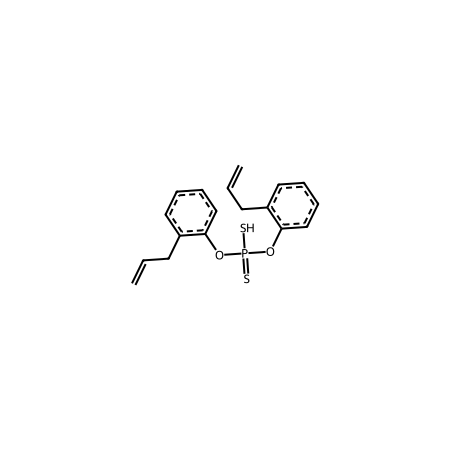 C=CCc1ccccc1OP(=S)(S)Oc1ccccc1CC=C